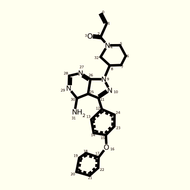 C=CC(=O)N1CCCC(N2N=C(c3ccc(Oc4ccccc4)cc3)C3C2=NC=NC3N)C1